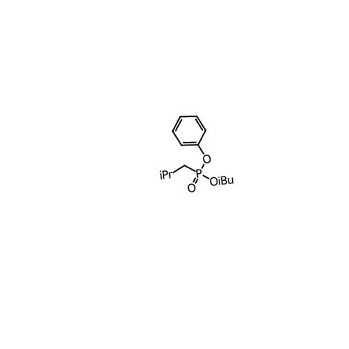 CC(C)COP(=O)(CC(C)C)Oc1ccccc1